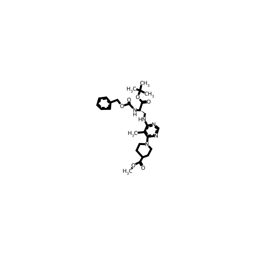 COC(=O)C1CCN(c2ncnc(NC[C@H](NC(=O)OCc3ccccc3)C(=O)OC(C)(C)C)c2C)CC1